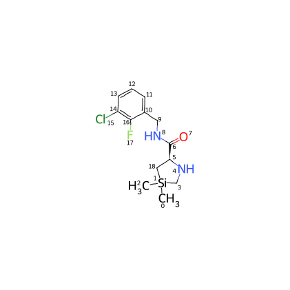 C[Si]1(C)CN[C@H](C(=O)NCc2cccc(Cl)c2F)C1